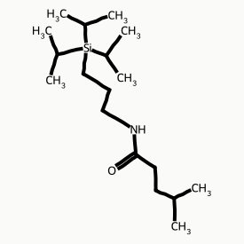 CC(C)CCC(=O)NCCC[Si](C(C)C)(C(C)C)C(C)C